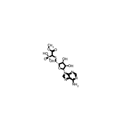 COC(=O)C(SC[C@H]1O[C@@H](n2cnc3c(N)ncnc32)[C@H](O)[C@@H]1O)P(=O)(O)O